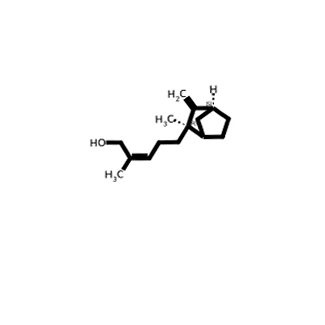 C=C1[C@H]2CCC(C2)[C@@]1(C)CCC=C(C)CO